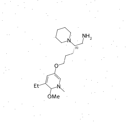 CCC1=CC(OCCC[C@@H](CN)N2CCCCC2)=CN(C)C1OC